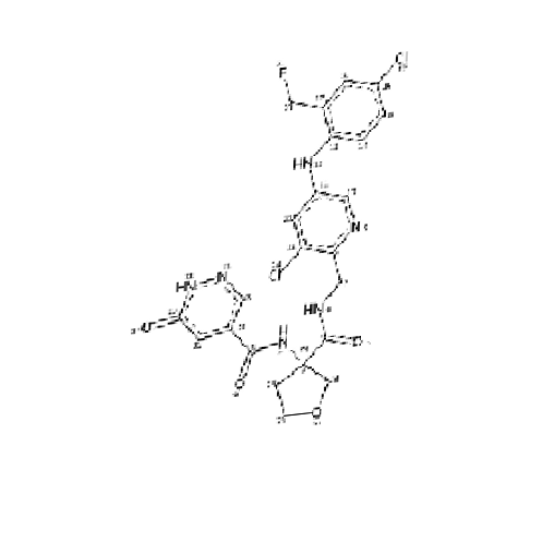 O=C(N[C@@]1(C(=O)NCc2ncc(Nc3ccc(Cl)cc3CF)cc2Cl)CCOC1)c1cn[nH]c(=O)c1